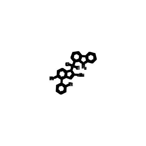 CCCCC1=Cc2c(ccc(C(C)C)c2-c2ccccc2CC)[CH]1[Zr]([Cl])([Cl])[c]1cccc2c1[SiH2]c1ccccc1-2